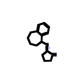 c1ccc2c(c1)CCCCC2/N=C1\CCCN1